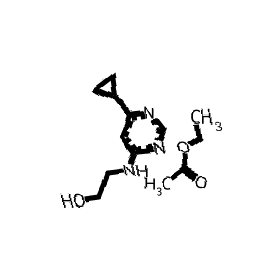 CCOC(C)=O.OCCNc1cc(C2CC2)ncn1